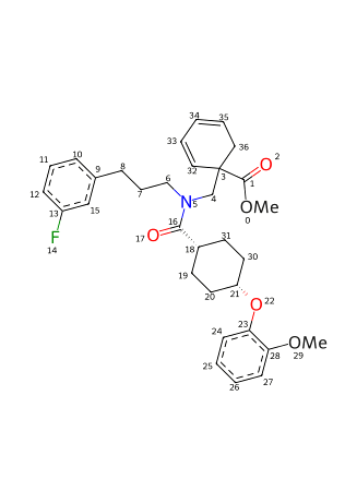 COC(=O)C1(CN(CCCc2cccc(F)c2)C(=O)[C@H]2CC[C@@H](Oc3ccccc3OC)CC2)C=CC=CC1